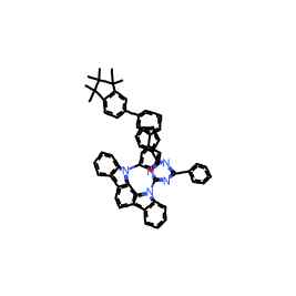 CC1(C)c2ccc(-c3cccc(-c4cccc(-n5c6ccccc6c6ccc7c8ccccc8n(-c8nc(-c9ccccc9)nc(-c9ccccc9)n8)c7c65)c4)c3)cc2C(C)(C)C1(C)C